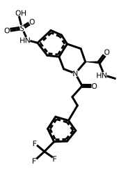 CNC(=O)[C@@H]1Cc2ccc(NS(=O)(=O)O)cc2CN1C(=O)CCc1ccc(C(F)(F)F)cc1